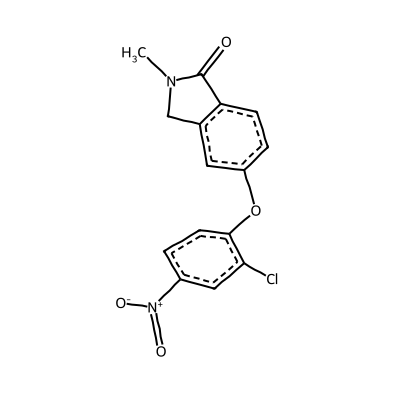 CN1Cc2cc(Oc3ccc([N+](=O)[O-])cc3Cl)ccc2C1=O